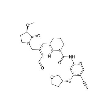 CO[C@@H]1CCN(Cc2cc3c(nc2C=O)N(C(=O)Nc2cc(S[C@H]4CCOC4)c(C#N)cn2)CCC3)C1=O